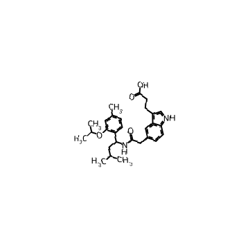 Cc1ccc(C(CC(C)C)NC(=O)Cc2ccc3[nH]cc(CCC(=O)O)c3c2)c(OC(C)C)c1